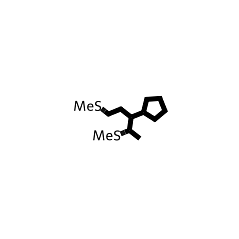 CSCCC(C1CCCC1)C(C)SC